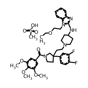 CCOCCn1c(NC2CCN(CCC3(c4ccc(F)c(F)c4)CCN(C(=O)c4cc(OC)c(OC)c(OC)c4)C3)CC2)nc2ccccc21.CS(=O)(=O)O